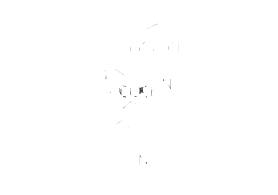 C=C(C)C(=O)OCC[N+](C)(C)C.C=C(C)C(=O)OCC[N+](C)(C)C.C=CC(=O)OCC.CC=C(C)C(=O)[O-].[Cl-]